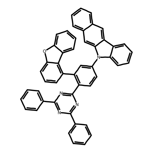 c1ccc(-c2nc(-c3ccccc3)nc(-c3ccc(-n4c5ccccc5c5cc6ccccc6cc54)cc3-c3cccc4oc5ccccc5c34)n2)cc1